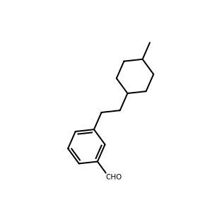 CC1CCC(CCc2cccc(C=O)c2)CC1